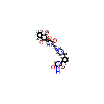 O=C1CCN(c2cccc(CN3CCN(CCNC(=O)c4cc5c(o4)C(=O)c4ccccc4C5=O)CC3)c2)C(=O)N1